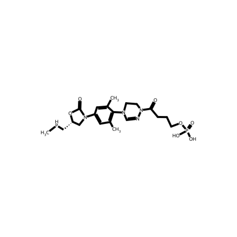 CPC[C@H]1CN(c2cc(C)c(N3C=NN(C(=O)CCCOP(=O)(O)O)CC3)c(C)c2)C(=O)O1